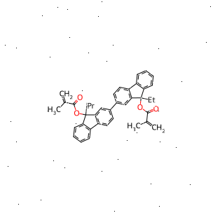 C=C(C)C(=O)OC1(CC)c2ccccc2-c2ccc(-c3ccc4c(c3)C(OC(=O)C(=C)C)(C(C)C)c3ccccc3-4)cc21